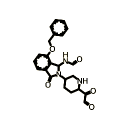 O=CNC1c2c(OCc3ccccc3)cccc2C(=O)N1C1CCC(C(=O)C=O)NC1